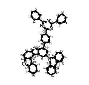 c1ccc(-c2nc(-c3ccccc3)nc(-c3ccc(-c4cc(-n5c6ccccc6c6ccccc65)cc5c4sc4ccc6oc7ccccc7c6c45)cc3)n2)cc1